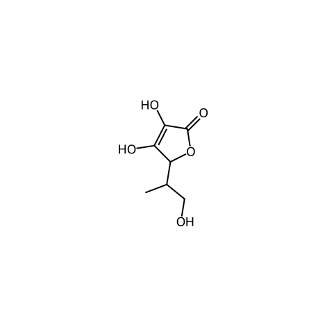 CC(CO)C1OC(=O)C(O)=C1O